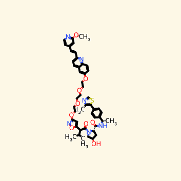 COc1cc(/C=C/c2ccc3cc(OCCOCCOCCOc4cc(C(C(=O)N5C[C@H](O)C[C@H]5C(=O)N[C@@H](C)c5ccc(-c6scnc6C)cc5)C(C)C)on4)ccc3n2)ccn1